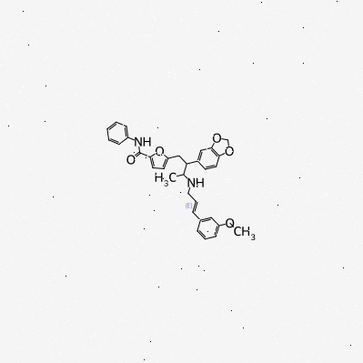 COc1cccc(/C=C/CNC(C)C(Cc2ccc(C(=O)Nc3ccccc3)o2)c2ccc3c(c2)OCO3)c1